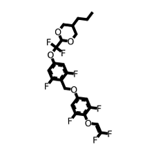 CCCC1COC(C(F)(F)Oc2cc(F)c(COc3cc(F)c(OC=C(F)F)c(F)c3)c(F)c2)OC1